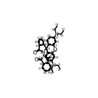 CCN(CC)c1ccc2c(c1)Oc1cc(N(CC)CC)ccc1C21c2ccccc2C(=O)N1N1C(=O)c2ccccc2C1=O